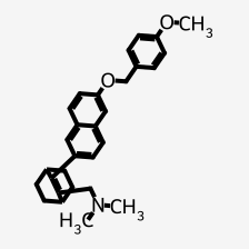 COc1ccc(COc2ccc3cc(C4=C(CN(C)C)C5CCC4CC5)ccc3c2)cc1